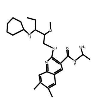 CCC(NC1CCCCC1)C(CNc1nc2cc(C)c(C)cc2cc1C(=O)NC(C)N)OC